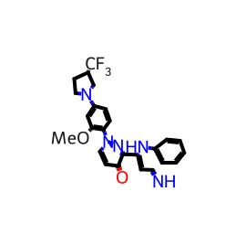 COc1cc(N2CCC(C(F)(F)F)C2)ccc1-n1ccc(=O)c(/C(=C/C=N)Nc2ccccc2)n1